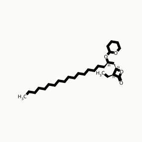 CCCCCCCCCCCCCCCCC[C@H](C[C@@H]1OC(=O)[C@H]1CC)OC1CCCCO1